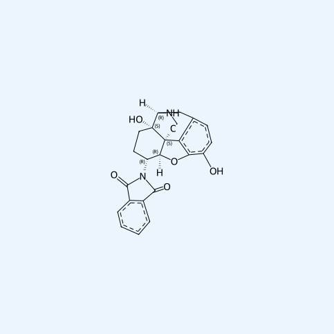 O=C1c2ccccc2C(=O)N1[C@@H]1CC[C@@]2(O)[C@H]3Cc4ccc(O)c5c4[C@@]2(CCN3)[C@H]1O5